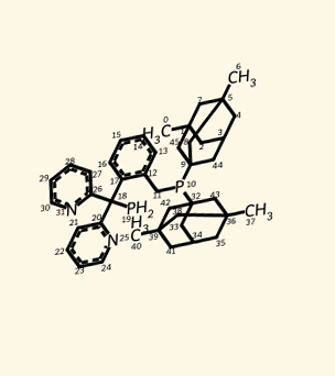 CC12CC3CC(C)(C1)CC(P(Cc1ccccc1C(P)(c1ccccn1)c1ccccn1)C14CC5CC(C)(CC(C)(C5)C1)C4)(C3)C2